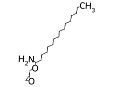 CCCCCCCCCCCCCCCC(N)OCC1CO1